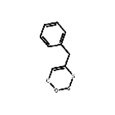 c1ccc(Cc2cooss2)cc1